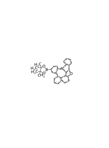 CC1(C)OB(c2ccc3c(c2)c2cccc4ccc5oc6c7ccccc7n3c6c5c42)OC1(C)C